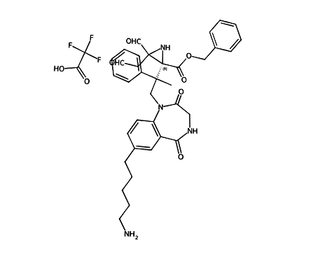 CC(CN1C(=O)CNC(=O)c2cc(CCCCCN)ccc21)(c1ccccc1)[C@@]1(C(=O)OCc2ccccc2)NC1(C=O)CC=O.O=C(O)C(F)(F)F